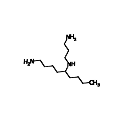 CCCCC(CCCCN)NCCCN